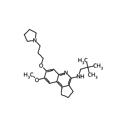 COc1cc2c3c(c(NCC(C)(C)C)nc2cc1OCCCN1CCCC1)CCC3